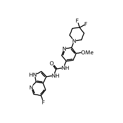 COc1cc(NC(=O)Nc2c[nH]c3ncc(F)cc23)cnc1N1CCC(F)(F)CC1